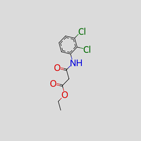 CCOC(=O)CC(=O)Nc1cccc(Cl)c1Cl